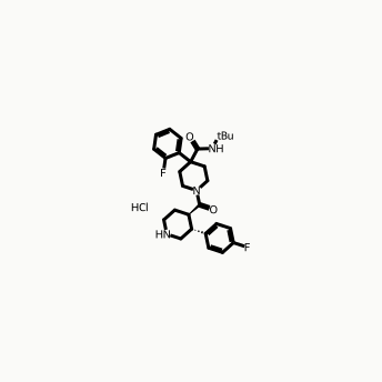 CC(C)(C)NC(=O)C1(c2ccccc2F)CCN(C(=O)[C@@H]2CCNC[C@H]2c2ccc(F)cc2)CC1.Cl